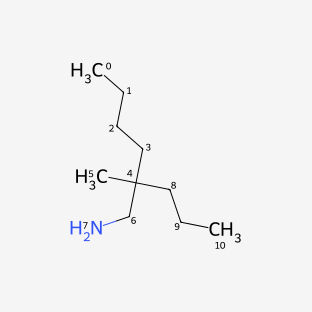 CCCCC(C)(CN)CCC